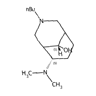 CCCCN1CC2CC[C@H](N(C)C)C(C1)[C@H]2O